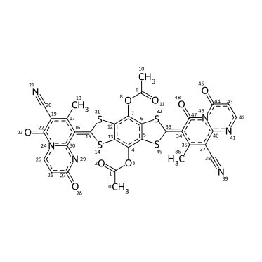 CC(=O)Oc1c2c(c(OC(C)=O)c3c1SC(=c1c(C)c(C#N)c(=O)n4ccc(=O)nc14)S3)SC(=c1c(C)c(C#N)c3nccc(=O)n3c1=O)S2